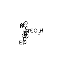 CCOc1ccc(S(=O)(=O)N2C[C@@H](C)[C@@H](n3cc(CC(=O)O)c4ccc(-c5cnn(C)c5-c5ccccc5)cc43)C2)cc1